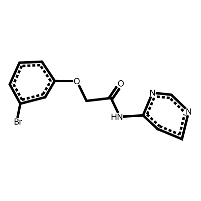 O=C(COc1cccc(Br)c1)Nc1ccncn1